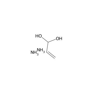 C=CC(O)O.N.N